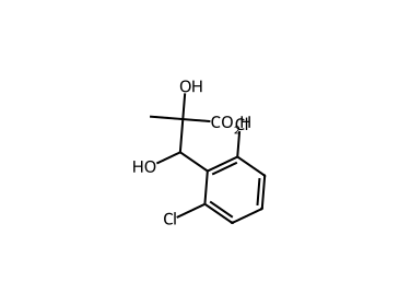 CC(O)(C(=O)O)C(O)c1c(Cl)cccc1Cl